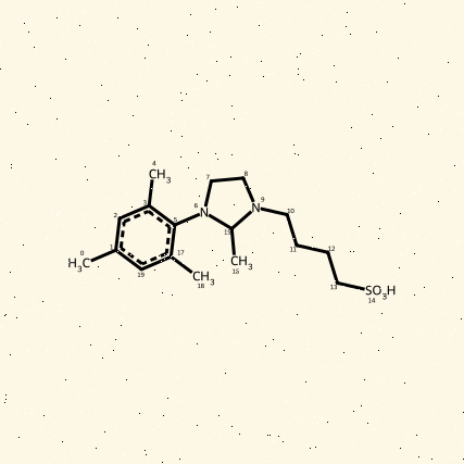 Cc1cc(C)c(N2CCN(CCCCS(=O)(=O)O)C2C)c(C)c1